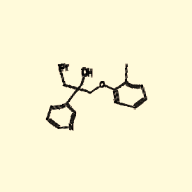 Cc1ccccc1OCC(O)(CC(C)C)c1cccnc1